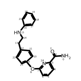 NC(=O)c1cccc(Oc2ccc(CCNc3ccccc3)cc2)n1